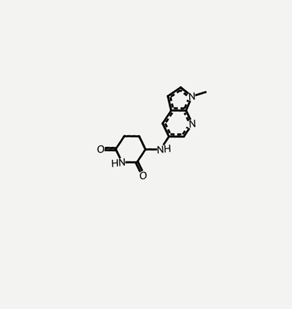 Cn1ccc2cc(NC3CCC(=O)NC3=O)cnc21